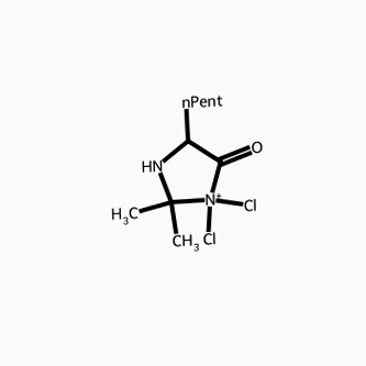 CCCCCC1NC(C)(C)[N+](Cl)(Cl)C1=O